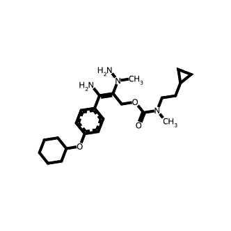 CN(CCC1CC1)C(=O)OC/C(=C(/N)c1ccc(OC2CCCCC2)cc1)N(C)N